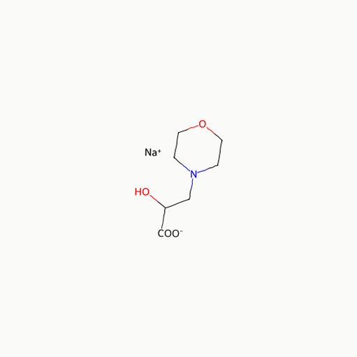 O=C([O-])C(O)CN1CCOCC1.[Na+]